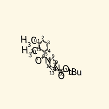 Cc1cccc(C(=O)N2CC3CC2CN3C(=O)OC(C)(C)C)c1C